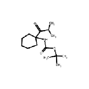 CC(C)C(=O)C1(NC(=O)OC(C)(C)C)CCCCC1